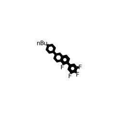 CCCCC1CCC(C2CCc3c(ccc(-c4cc(F)c(F)c(F)c4)c3F)C2)CC1